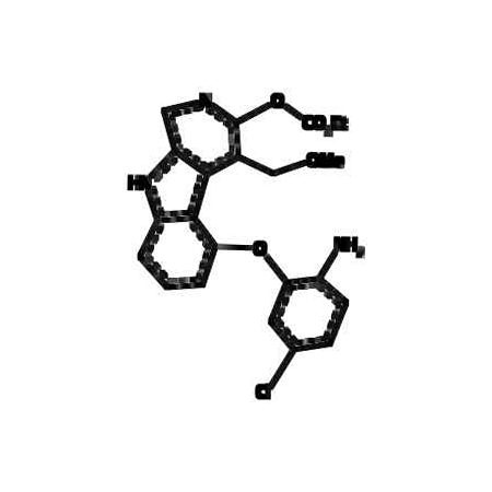 CCOC(=O)Oc1ncc2[nH]c3cccc(Oc4cc(Cl)ccc4N)c3c2c1COC